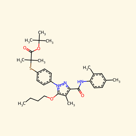 CCCCOc1c(C)c(C(=O)Nc2ccc(C)cc2C)nn1-c1ccc(SC(C)(C)C(=O)OC(C)(C)C)cc1